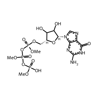 COP(=O)(O)OP(=O)(OC)OP(=O)(OC)OC[C@H]1O[C@@H](n2cnc3c(=O)[nH]c(N)nc32)C(O)C1O